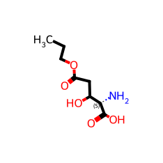 CCCOC(=O)CC(O)[C@H](N)C(=O)O